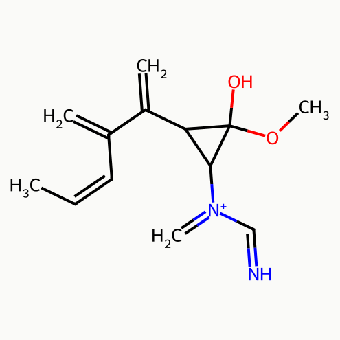 C=C(/C=C\C)C(=C)C1C([N+](=C)C=N)C1(O)OC